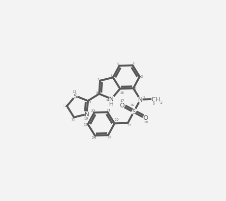 CN(c1cccc2cc(C3=NCCS3)[nH]c12)S(=O)(=O)Cc1ccccc1